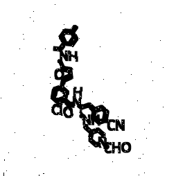 Cc1ccc(C(C)NCc2ccc(-c3ccc(Cl)c(C(=O)N[C@@H](CNCC4CCN(C=O)CC4)Cc4ccc(C#N)cc4)c3)o2)cc1